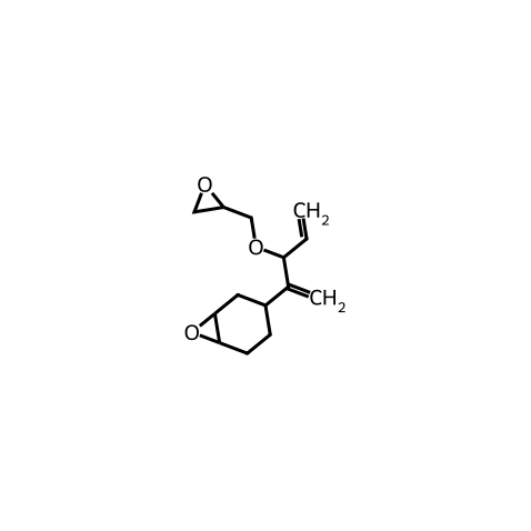 C=CC(OCC1CO1)C(=C)C1CCC2OC2C1